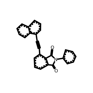 O=C1c2cccc(C#Cc3cccc4ccccc34)c2C(=O)N1c1ccccc1